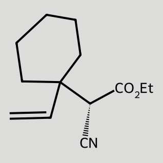 C=CC1([C@@H](C#N)C(=O)OCC)CCCCC1